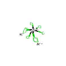 [Cl][Ti-2]([Cl])([Cl])([Cl])([Cl])[Cl].[K+].[K+]